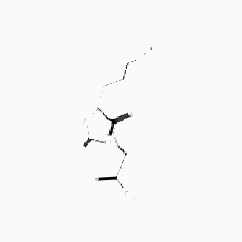 Cl.NCCCC1NC(=O)N(CC(=O)O)C1=O